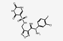 N=C(c1nonc1CNS(=O)(=O)c1c[nH]c(=O)[nH]c1=O)N(N)c1ccc(F)c(Cl)c1